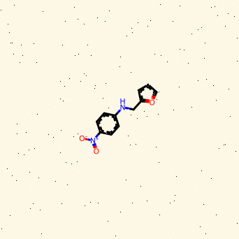 O=[N+]([O-])c1ccc(NCc2cc[c]o2)cc1